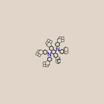 c1cc2c(cc1N(c1ccc3c(c1)C1CC4CC5CC3CC541)c1c3cc4c(cc3c(N(c3ccc5c(c3)C3CC6CC7CC5CC763)c3ccc5c(c3)C3CC6CC7CC5CC763)c3cc5c(cc13)C1CC3CC6CC5CC631)C1CC3CC(C1)C4C3)C1CC3CC(CC2C3)C1